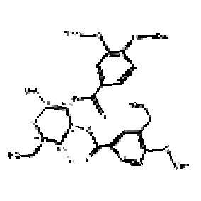 CCCCCCCCCCOc1ccc(C(=O)N[C@H]2[C@@H](OC)O[C@H](CO)[C@@H](O)[C@@H]2OC(=O)c2ccc(OCCCCCCCCCC)c(OCCCCCCCCCC)c2)cc1OCCCCCCCCCC